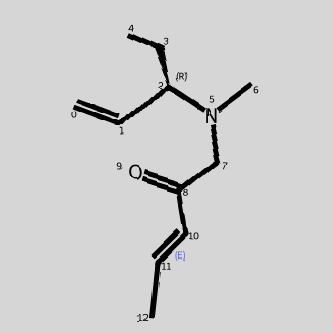 C=C[C@@H](CC)N(C)CC(=O)/C=C/C